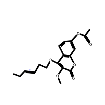 CC/C=C/CCOc1c(OC)c(=O)oc2cc(OC(C)=O)ccc12